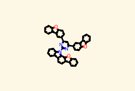 c1ccc2c(c1)oc1ccc(-c3cc(-c4ccc5oc6ccccc6c5c4)nc(-n4c5ccccc5c5ccc6c7ccccc7oc6c54)n3)cc12